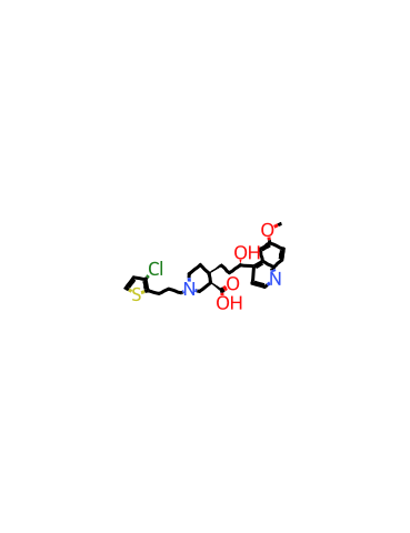 COc1ccc2nccc([C@@H](O)CC[C@@H]3CCN(CCCc4sccc4Cl)C[C@@H]3C(=O)O)c2c1